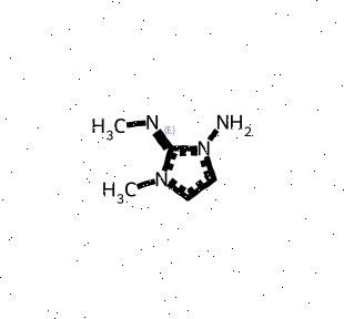 C/N=c1\n(C)ccn1N